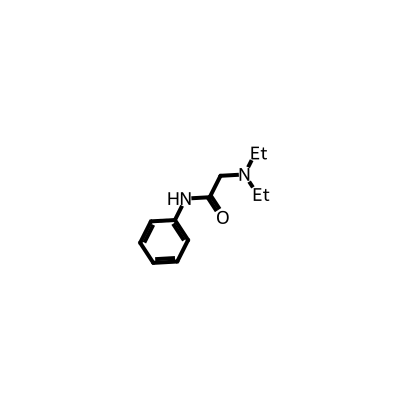 CCN(CC)CC(=O)Nc1ccccc1